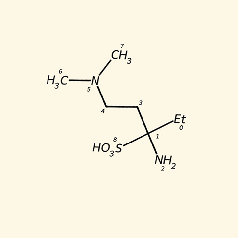 CCC(N)(CCN(C)C)S(=O)(=O)O